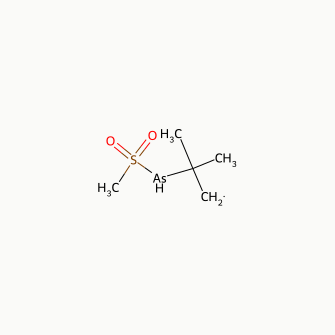 [CH2]C(C)(C)[AsH]S(C)(=O)=O